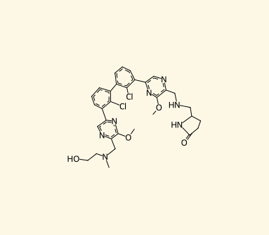 COc1nc(-c2cccc(-c3cccc(-c4cnc(CN(C)CCO)c(OC)n4)c3Cl)c2Cl)cnc1CNCC1CCC(=O)N1